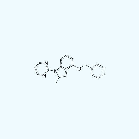 Cc1cc2c(OCc3ccccc3)cccc2n1-c1ncccn1